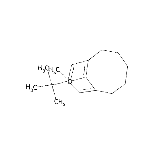 COc1c2cc(C(C)(C)C)cc1CCCCC2